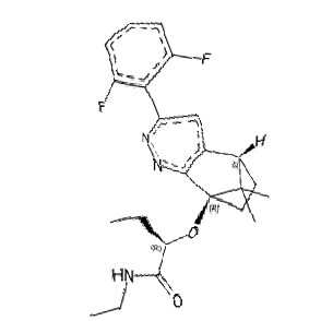 CCNC(=O)[C@@H](CC)O[C@@]12CC[C@@H](c3cc(-c4c(F)cccc4F)nnc31)C2(C)C